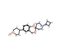 [O-][S+]1CCC(c2ccc3c(c2)COC2(CCN(C4CCC4)CC2)O3)CC1